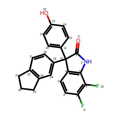 O=C1Nc2c(ccc(F)c2F)C1(c1ccc(O)cc1)c1ccc2c(c1)CCC2